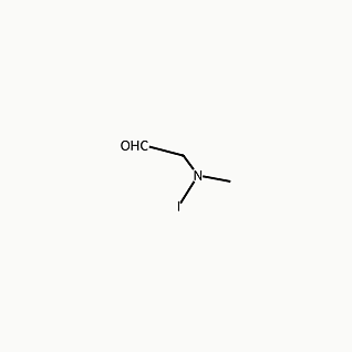 CN(I)CC=O